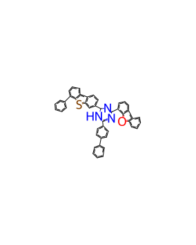 c1ccc(-c2ccc(C3=NC(c4cccc5c4oc4ccccc45)=NC(c4ccc5c(c4)sc4c(-c6ccccc6)cccc45)N3)cc2)cc1